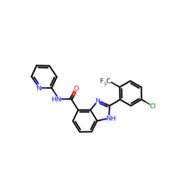 O=C(Nc1ccccn1)c1cccc2[nH]c(-c3cc(Cl)ccc3C(F)(F)F)nc12